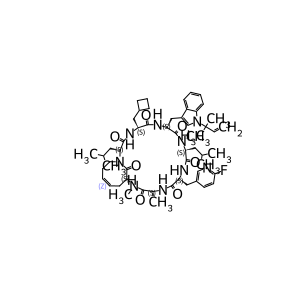 C=CC(C)(C)n1cc(C[C@@H]2NC(=O)[C@H](CC3CCC3)NC(=O)[C@H](CC(C)C)N3CC/C=C\C[C@@H](C3=O)N(C)C(=O)[C@H](C)NC(=O)[C@H](Cc3ccc(F)nc3)NC(=O)[C@H](CC(C)C)N(C)C2=O)c2ccccc21